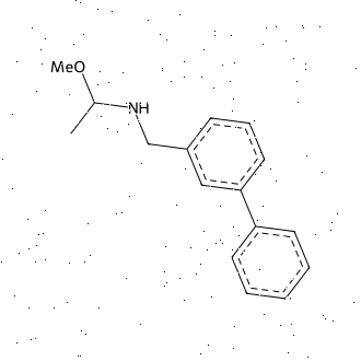 COC(C)NCc1cccc(-c2cc[c]cc2)c1